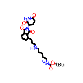 CC(C)(C)OC(=O)NCCCCCNCCCc1cccc2c1C(=O)N(C1CCC(=O)NC1=O)C2=O